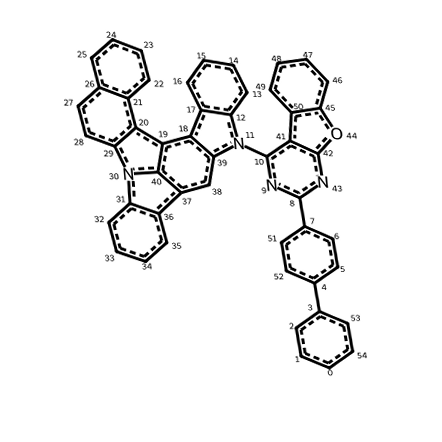 c1ccc(-c2ccc(-c3nc(-n4c5ccccc5c5c6c7c8ccccc8ccc7n7c8ccccc8c(cc54)c67)c4c(n3)oc3ccccc34)cc2)cc1